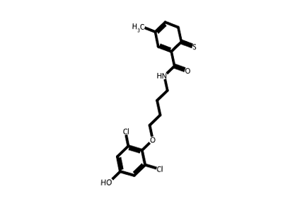 CC1=CCC(=S)C(C(=O)NCCCCOc2c(Cl)cc(O)cc2Cl)=C1